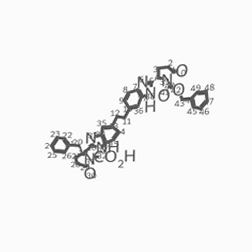 O=C1CC[C@@H](c2nc3ccc(CCc4ccc5[nH]c([C@@]6(Cc7ccccc7)CCC(=O)N6C(=O)O)nc5c4)cc3[nH]2)N1C(=O)OCc1ccccc1